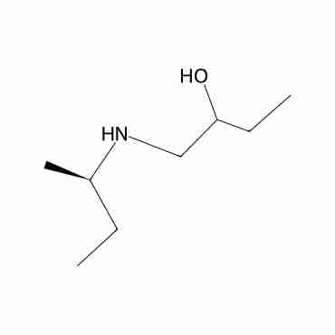 CCC(O)CN[C@H](C)CC